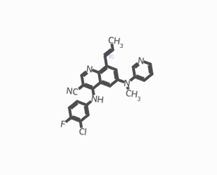 C/C=C/c1cc(N(C)c2cccnc2)cc2c(Nc3ccc(F)c(Cl)c3)c(C#N)cnc12